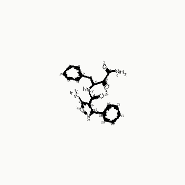 NC(=O)C(=O)C(Cc1ccccc1)NC(=O)c1c(-c2ccccc2)noc1C(F)(F)F